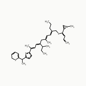 C=C/C=C(\SC/C(=C/C=C(\C)C/C(=C/C=C(\C)c1ccc(C(C)C2=CC=CCS2)s1)C(C)CC)CCC)C1=CN1C